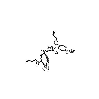 C=CCCOc1nc(NC(=O)Nc2cc(OC)ccc2OCC=C)cnc1C#N